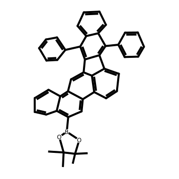 CC1(C)OB(c2cc3c4cccc5c4c(cc3c3ccccc23)-c2c-5c(-c3ccccc3)c3ccccc3c2-c2ccccc2)OC1(C)C